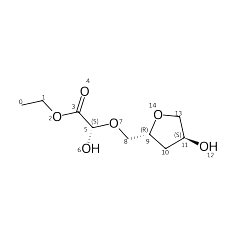 CCOC(=O)[C@@H](O)OC[C@H]1C[C@H](O)CO1